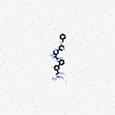 CN(C)CC(N)c1cc(F)cc(-c2cccc3[nH]c(-c4n[nH]c5cnc(-c6cncc(OCc7ccccc7)c6)cc45)nc23)c1